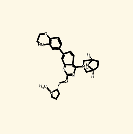 CN1CCC[C@H]1COc1nc(N2C[C@H]3CC[C@@H](C2)N3)c2ccc(-c3ccc4c(c3)NCCO4)cc2n1